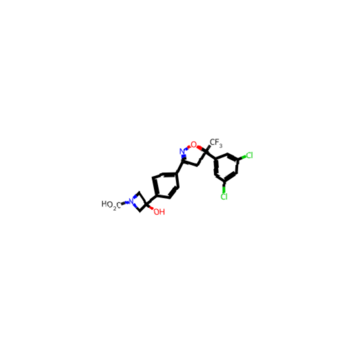 O=C(O)N1CC(O)(c2ccc(C3=NOC(c4cc(Cl)cc(Cl)c4)(C(F)(F)F)C3)cc2)C1